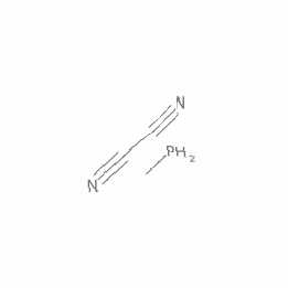 CP.N#CC#N